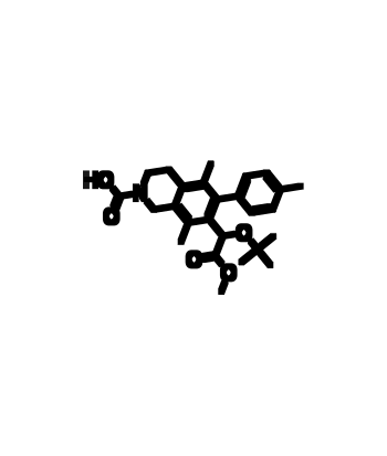 COC(=O)C(OC(C)(C)C)c1c(C)c2c(c(C)c1-c1ccc(C)cc1)CCN(C(=O)O)C2